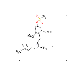 COc1cc(OS(=O)(=O)C(F)(F)F)cc(OC)c1C/C=C(\C)CCC=C(C)C